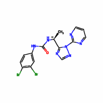 C[C@H](NC(=O)Nc1ccc(Br)c(Br)c1)c1ncnn1-c1ncccn1